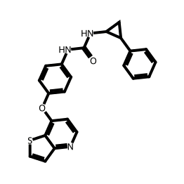 O=C(Nc1ccc(Oc2ccnc3ccsc23)cc1)NC1CC1c1ccccc1